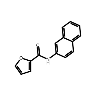 O=C(Nc1ccc2ccccc2c1)c1ccco1